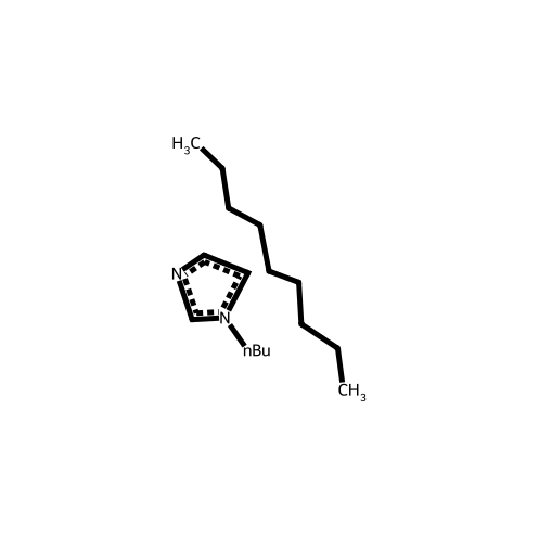 CCCCCCCCC.CCCCn1ccnc1